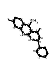 Cc1ccc2c(N)c3c(C)cc(-c4ccccc4)nc3nc2c1